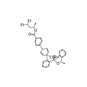 CCC(CC)C[C@@H](C)OC(=O)c1ccc(C2C=CC(C(=O)O)(c3ccccc3C(=O)O[C@H](C)c3ccccc3)C=C2)cc1